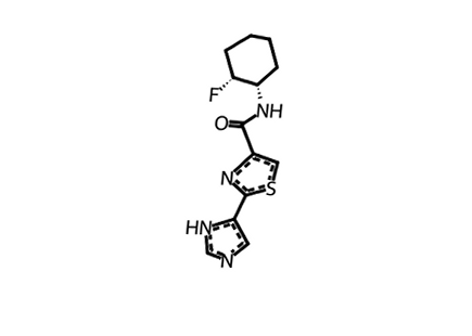 O=C(N[C@H]1CCCC[C@H]1F)c1csc(-c2cnc[nH]2)n1